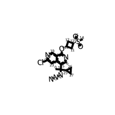 CC(N=[N+]=[N-])(c1cnc(O[C@H]2C[C@@H](S(C)(=O)=O)C2)c2cnc(Cl)cc12)C1CC1